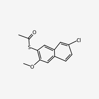 COc1cc2ccc(Cl)cc2cc1SC(C)=O